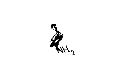 NCCc1ccc(OCCCN2CCC2)cc1